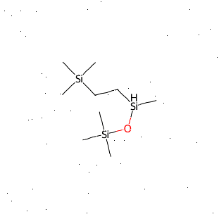 C[SiH](CC[Si](C)(C)C)O[Si](C)(C)C